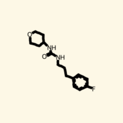 O=C(NCCCc1ccc(F)cc1)NC1CCOCC1